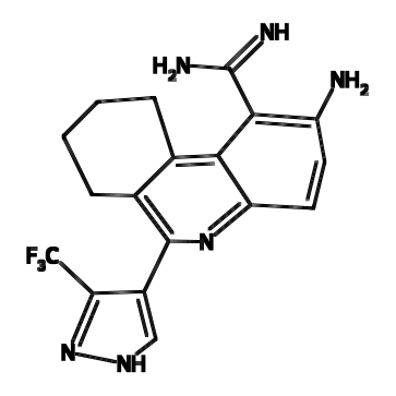 N=C(N)c1c(N)ccc2nc(-c3c[nH]nc3C(F)(F)F)c3c(c12)CCCC3